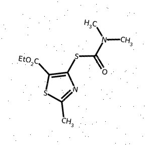 CCOC(=O)c1sc(C)nc1SC(=O)N(C)C